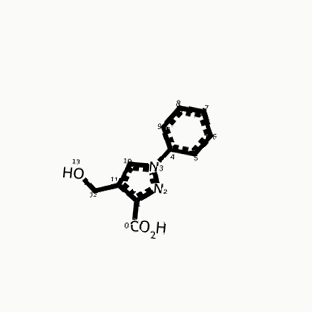 O=C(O)c1nn(-c2ccccc2)cc1CO